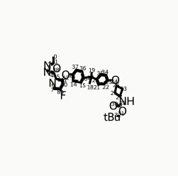 Cc1nnc(-c2ncc(F)cc2Oc2ccc(C(C)(C)c3ccc(O[C@H]4C[C@H](NC(=O)OC(C)(C)C)C4)cc3)cc2)o1